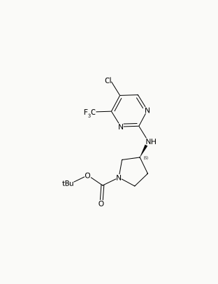 CC(C)(C)OC(=O)N1CC[C@H](Nc2ncc(Cl)c(C(F)(F)F)n2)C1